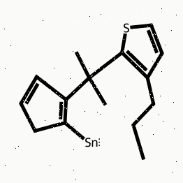 CCCc1ccsc1C(C)(C)C1=[C]([Sn])CC=C1